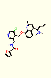 C=C/C=C(/c1cc(C)nc2c(OCc3c(Cl)cncc3CNC(=O)c3ccco3)cccc12)N(C)C